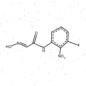 O=C(/C=N/O)Nc1cccc(F)c1[N+](=O)[O-]